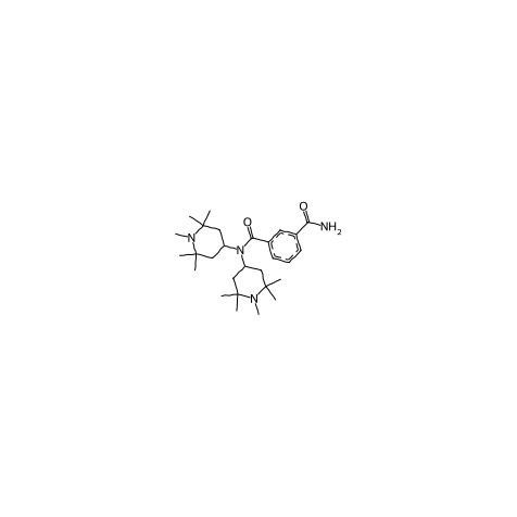 CN1C(C)(C)CC(N(C(=O)c2cccc(C(N)=O)c2)C2CC(C)(C)N(C)C(C)(C)C2)CC1(C)C